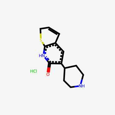 Cl.O=c1[nH]c2c(cc1C1CCNCC1)C=CCS2